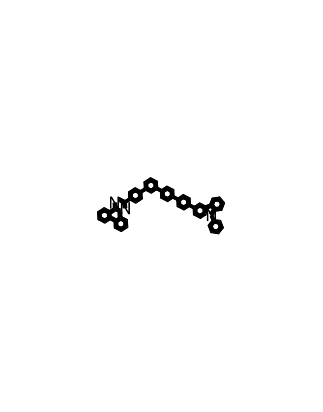 c1ccc(-n2c3ccccc3c3cc(-c4ccc(-c5ccc(-c6cccc(-c7ccc(-c8cnc9c%10ccccc%10c%10ccccc%10c9n8)cc7)c6)cc5)cc4)ccc32)cc1